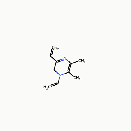 C=CC1=NC(C)=C(C)N(C=C)C1